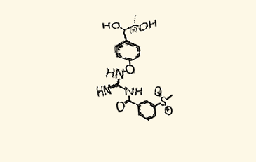 C[C@H](O)C(O)c1ccc(ONC(=N)NC(=O)c2cccc(S(C)(=O)=O)c2)cc1